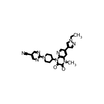 CCn1cc(-c2cnc3c(c2)n(C)c(=O)c(=O)n3C2CCN(c3ncc(C#N)cn3)CC2)cn1